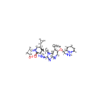 COc1c(Oc2cnn3ccccc23)cnc2nc(Nc3cc(C4CC4)cn([C@@H]4CC[C@H]4O)c3=O)n(C)c12